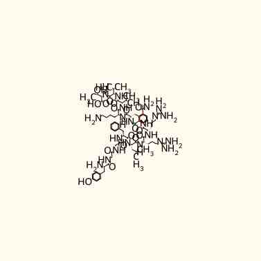 CC(C)C[C@H](NC(=O)[C@H](Cc1ccccc1)NC(=O)CNC(=O)CNC(=O)[C@@H](N)Cc1ccc(O)cc1)C(=O)N[C@@H](CCCN=C(N)N)C(=O)N[C@@H](CCCN=C(N)N)C(=O)N[C@@H](CCC(N)=O)C(=O)N[C@@H](Cc1ccccc1)C(=O)N[C@@H](CCCCN)C(=O)N[C@H](C(=O)N[C@H](C(=O)N[C@H](C(=O)O)[C@H](C)O)C(C)C)C(C)C